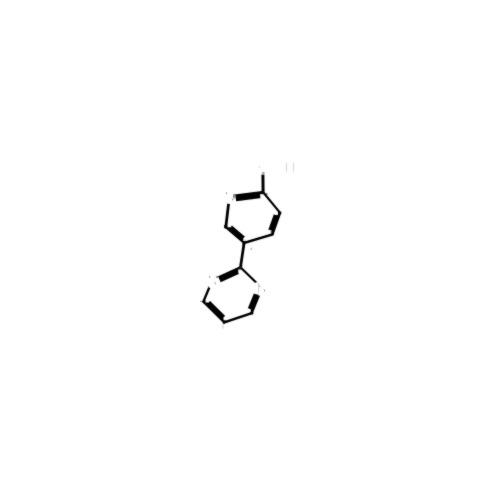 O=C(O)c1ccc(-c2nc[c]cn2)cn1